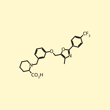 Cc1nc(-c2ccc(C(F)(F)F)cc2)oc1COc1cccc(CN2CCCC[C@@H]2C(=O)O)c1